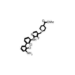 COC(=O)C1CCN(Cc2ccnc(Nc3cccc(-c4cccc(N)c4Cl)c3Cl)c2F)CC1